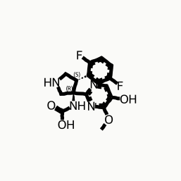 COc1nc([C@]2(NC(=O)O)CNC[C@@H]2c2cc(F)ccc2F)ncc1O